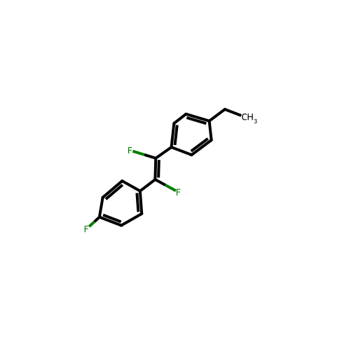 CCc1ccc(/C(F)=C(\F)c2ccc(F)cc2)cc1